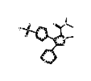 CN(C)C(=O)c1c(-c2ccc(S(N)(=O)=O)cc2)c(-c2ccncc2)nn1C